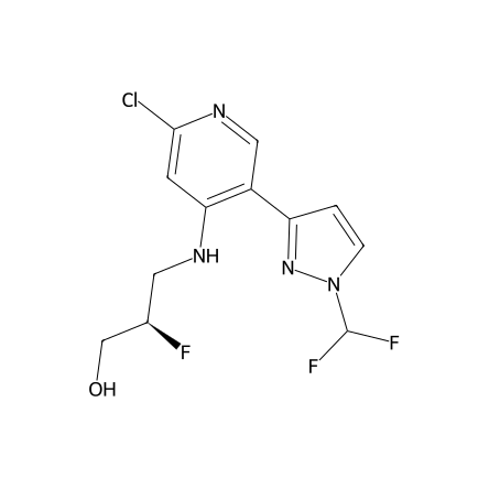 OC[C@H](F)CNc1cc(Cl)ncc1-c1ccn(C(F)F)n1